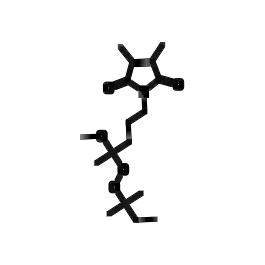 CCC(C)(C)OOC(C)(CCCN1C(=O)C(C)=C(C)C1=O)OC